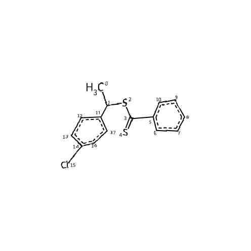 CC(SC(=S)c1ccccc1)c1ccc(Cl)cc1